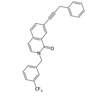 O=c1c2cc(C#CCc3ccccc3)ccc2ccn1Cc1cccc(C(F)(F)F)c1